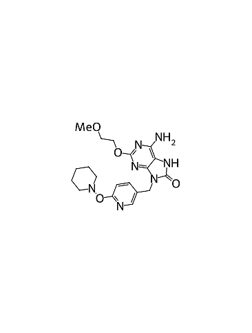 COCCOc1nc(N)c2[nH]c(=O)n(Cc3ccc(ON4CCCCC4)nc3)c2n1